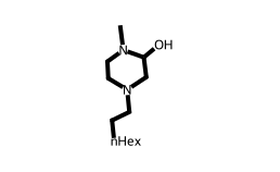 CCCCCCCCN1CCN(C)C(O)C1